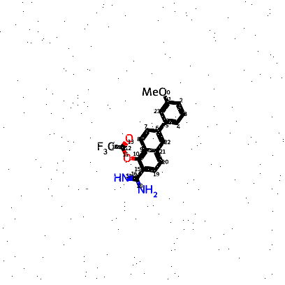 COc1cccc(-c2ccc3c(OC(=O)C(F)(F)F)c(C(=N)N)ccc3c2)c1